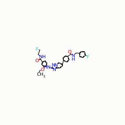 CCOc1cc(C(=O)NCCF)ccc1Nc1nc2ccc(-c3ccc(C(=O)NCc4ccc(F)cc4)cc3)cn2n1